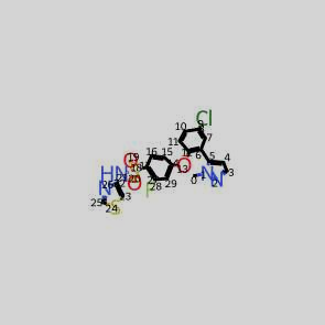 Cn1nccc1-c1cc(Cl)ccc1Oc1ccc(S(=O)(=O)Nc2cscn2)c(F)c1